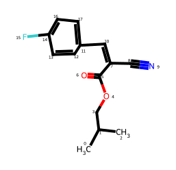 CC(C)COC(=O)C(C#N)=Cc1ccc(F)cc1